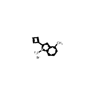 Cc1cccc2c1cc(C1=CC=C1)[s+]2C(F)(F)F.[Br-]